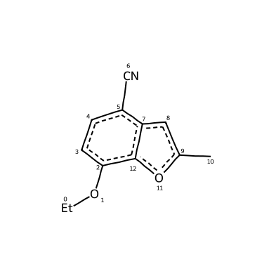 CCOc1ccc(C#N)c2cc(C)oc12